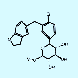 CO[C@H]1O[C@@H](c2ccc(Cl)c(Cc3ccc4c(c3)CCO4)c2)[C@H](O)[C@@H](O)[C@@H]1O